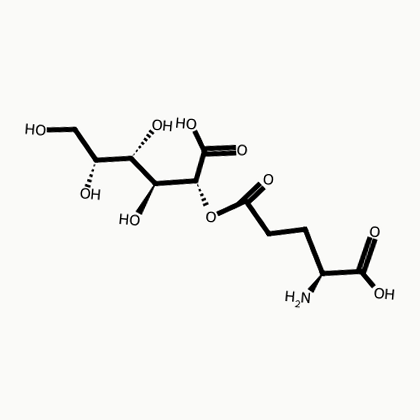 N[C@@H](CCC(=O)O[C@@H](C(=O)O)[C@@H](O)[C@@H](O)[C@H](O)CO)C(=O)O